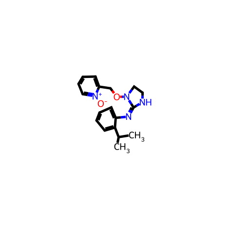 CC(C)c1ccccc1/N=C1/NCCN1OCc1cccc[n+]1[O-]